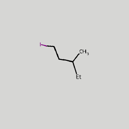 [CH2]CC(C)CCI